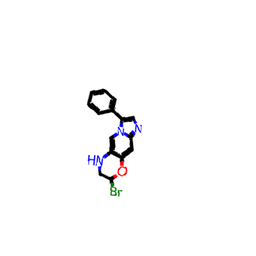 BrC1CNc2cn3c(-c4ccccc4)cnc3cc2O1